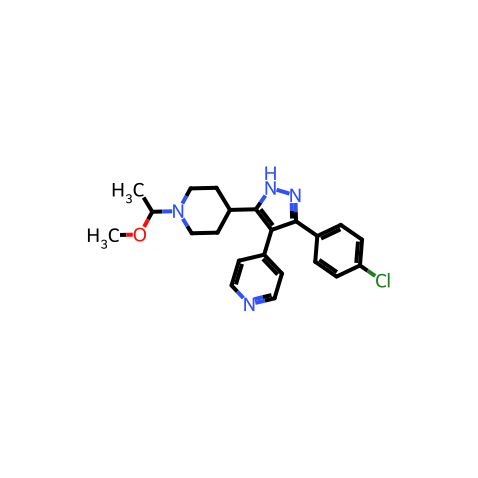 COC(C)N1CCC(c2[nH]nc(-c3ccc(Cl)cc3)c2-c2ccncc2)CC1